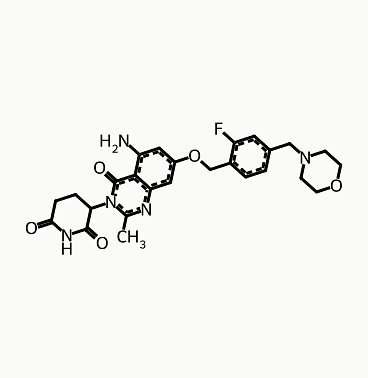 Cc1nc2cc(OCc3ccc(CN4CCOCC4)cc3F)cc(N)c2c(=O)n1C1CCC(=O)NC1=O